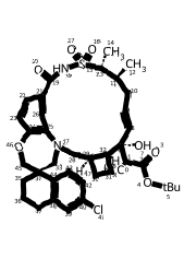 C[C@H](C(=O)OC(C)(C)C)[C@]1(O)/C=C/C[C@H](C)[C@@H](C)S(=O)(=O)NC(=O)c2ccc3c(c2)N(C[C@@H]2CC[C@H]21)C[C@@]1(CCCc2cc(Cl)ccc21)CO3